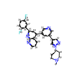 CN1CCC(n2cc(-c3cncc(-c4cc(-c5cc(F)ccc5F)nc5ncccc45)c3)cn2)CC1